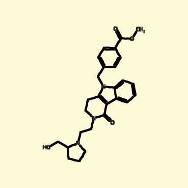 COC(=O)c1ccc(Cn2c3c(c4ccccc42)C(=O)N(CCN2CCCC2CO)CC3)cc1